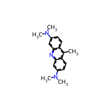 Cc1c2ccc(N(C)C)cc2nc2cc(N(C)C)ccc12